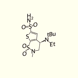 CCN([C@H]1CN(C)S(=O)(=O)c2sc(S(N)(=O)=O)cc21)C(C)(C)C